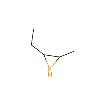 CCC1P[C]1C